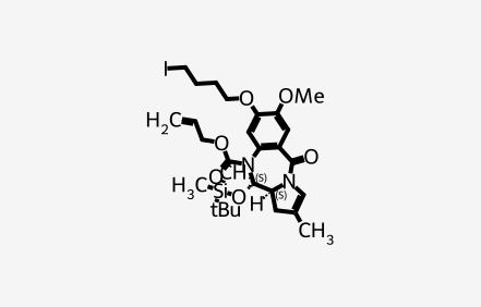 C=CCOC(=O)N1c2cc(OCCCCI)c(OC)cc2C(=O)N2C=C(C)C[C@H]2[C@@H]1O[Si](C)(C)C(C)(C)C